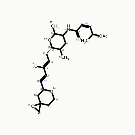 CC(=O)OC(C)/C=C\C(=O)NC1CC(C)[C@H](C/C=C(C)/C=C/C2CC3(CCO2)CO3)OC1C